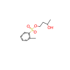 Cc1ccccc1S(=O)(=O)OCCC(C)O